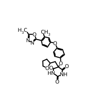 Cc1nnc(-c2ccc(Oc3ccc(OC4(CC5CCCO5)C(=O)NC(=O)NC4=O)cc3)cc2C)o1